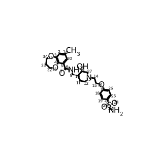 Cc1cc2c(c(C(=O)NC[C@@H]3CCN(CCOc4ccc(S(N)(=O)=O)cc4)C[C@H]3O)c1)OCCCO2